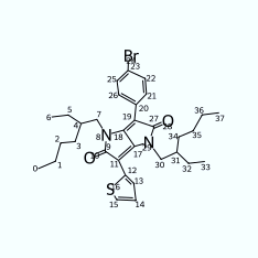 CCCCC(CC)CN1C(=O)C(c2cccs2)=C2C1=C(c1ccc(Br)cc1)C(=O)N2CC(CC)CCCC